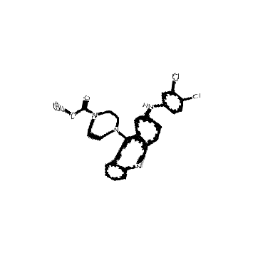 CC(C)(C)OC(=O)N1CCN(c2c3ccccc3nc3ccc(Nc4ccc(Cl)c(Cl)c4)cc23)CC1